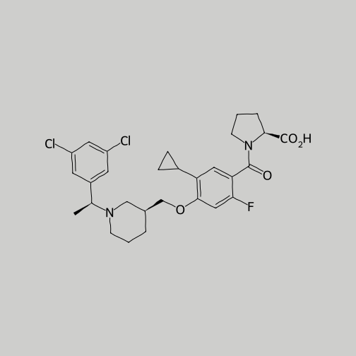 C[C@@H](c1cc(Cl)cc(Cl)c1)N1CCC[C@H](COc2cc(F)c(C(=O)N3CCC[C@H]3C(=O)O)cc2C2CC2)C1